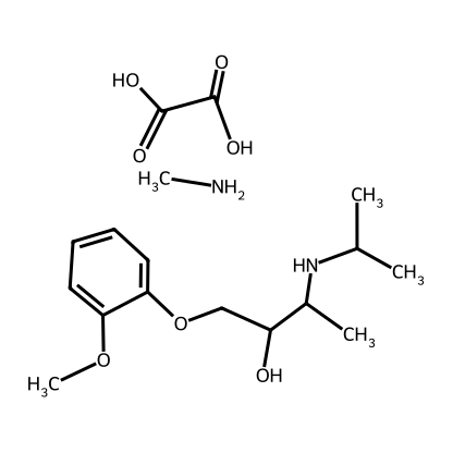 CN.COc1ccccc1OCC(O)C(C)NC(C)C.O=C(O)C(=O)O